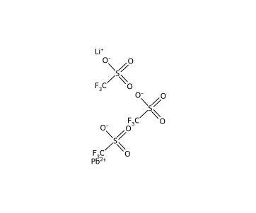 O=S(=O)([O-])C(F)(F)F.O=S(=O)([O-])C(F)(F)F.O=S(=O)([O-])C(F)(F)F.[Li+].[Pb+2]